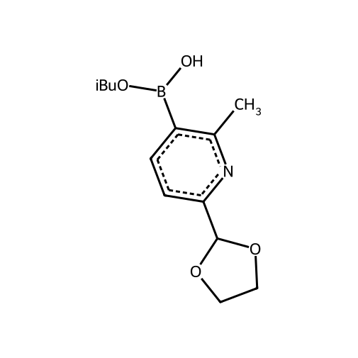 Cc1nc(C2OCCO2)ccc1B(O)OCC(C)C